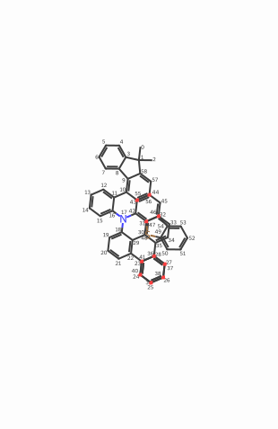 CC1(C)c2ccccc2-c2c(-c3ccccc3N(c3cccc(-c4ccccc4)c3-c3ccccc3-c3ccccc3)c3cccc4c3sc3ccccc34)cccc21